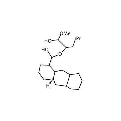 COC(O)C(CC(C)C)OC(O)C1CCC[C@H]2CC3CCCCC3CC12